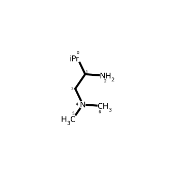 CC(C)C(N)CN(C)C